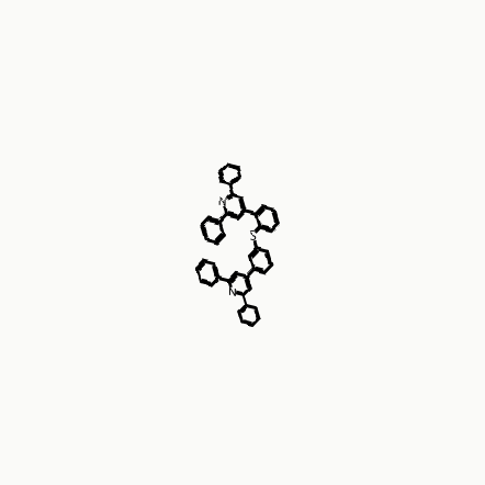 c1ccc(-c2cc(-c3cccc(Sc4ccccc4-c4cc(-c5ccccc5)nc(-c5ccccc5)c4)c3)cc(-c3ccccc3)n2)cc1